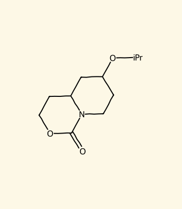 CC(C)OC1CCN2C(=O)OCCC2C1